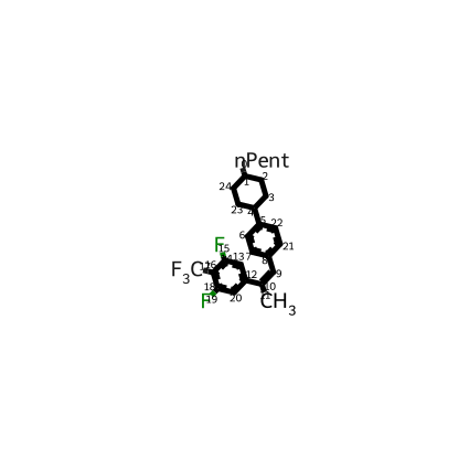 CCCCCC1CCC(c2ccc(C=C(C)c3cc(F)c(C(F)(F)F)c(F)c3)cc2)CC1